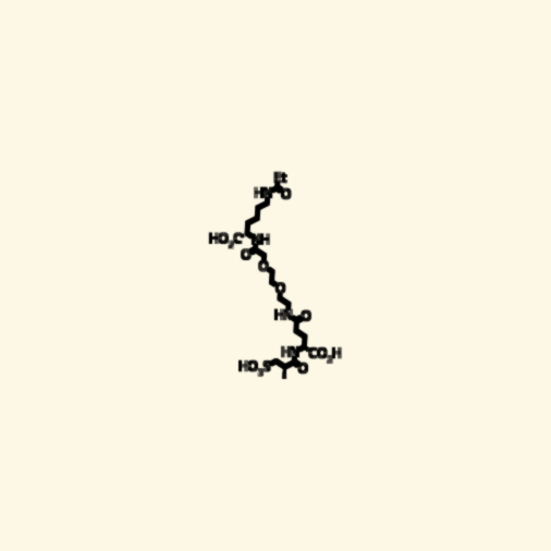 CCC(=O)NCCCC[C@H](NC(=O)COCCOCCNC(=O)CC[C@H](NC(=O)[C@@H](C)CS(=O)(=O)O)C(=O)O)C(=O)O